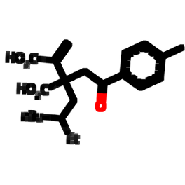 C=C(C(=O)O)C(CC(=O)c1ccc(C)cc1)(CC(CC)CCCC)C(=O)O